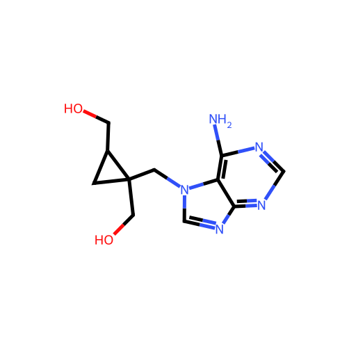 Nc1ncnc2ncn(CC3(CO)CC3CO)c12